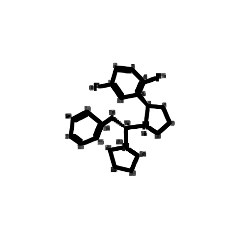 Fc1ccc(F)c([C@H]2CCCN2[C@@H]([CH]c2ccccc2)N2CCCC2)c1